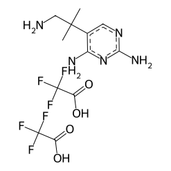 CC(C)(CN)c1cnc(N)nc1N.O=C(O)C(F)(F)F.O=C(O)C(F)(F)F